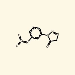 O=C1CN=NN1c1cccc(N=S(=O)=O)c1